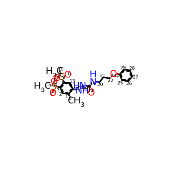 Cc1cc(S(C)(=O)=O)c(S(C)(=O)=O)cc1NNC(=O)NCCCOc1ccccc1